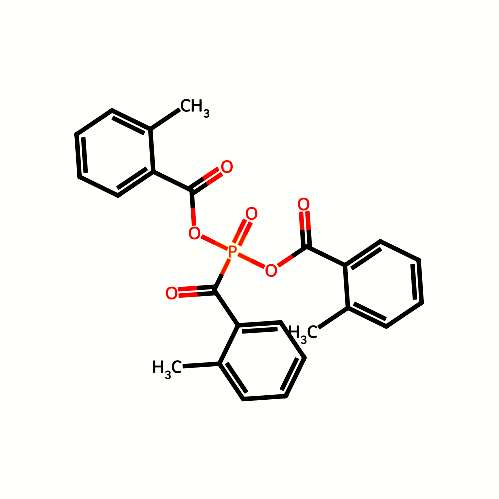 Cc1ccccc1C(=O)OP(=O)(OC(=O)c1ccccc1C)C(=O)c1ccccc1C